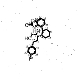 O=c1[nH]c2c([C@@]3(NCCO)CCCC[C@H]3CCCc3ccc(F)cc3)cccc2o1